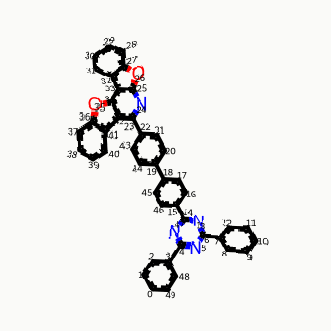 c1ccc(-c2nc(-c3ccccc3)nc(-c3ccc(-c4ccc(-c5nc6oc7ccccc7c6c6oc7ccccc7c56)cc4)cc3)n2)cc1